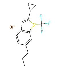 CCCc1ccc2cc(C3CC3)[s+](C(F)(F)F)c2c1.[Br-]